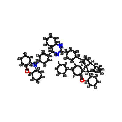 c1ccc(-c2ccc3c(c2)Oc2ccccc2C32c3ccccc3-c3ccc(-c4ccc(-c5nc(-c6ccc(N7c8ccccc8Oc8ccccc87)cc6)c6ccccc6n5)cc4)cc32)cc1